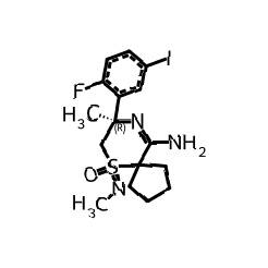 CN=S1(=O)C[C@@](C)(c2cc(I)ccc2F)N=C(N)C12CCCC2